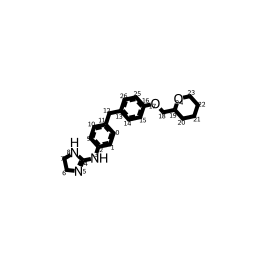 c1cc(NC2=NCCN2)ccc1Cc1ccc(OCC2CCCCO2)cc1